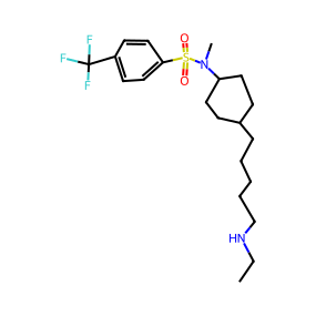 CCNCCCCCC1CCC(N(C)S(=O)(=O)c2ccc(C(F)(F)F)cc2)CC1